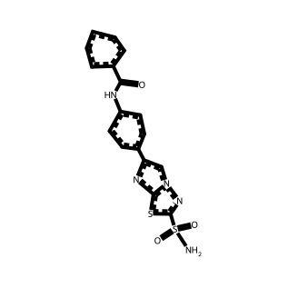 NS(=O)(=O)c1nn2cc(-c3ccc(NC(=O)c4ccccc4)cc3)nc2s1